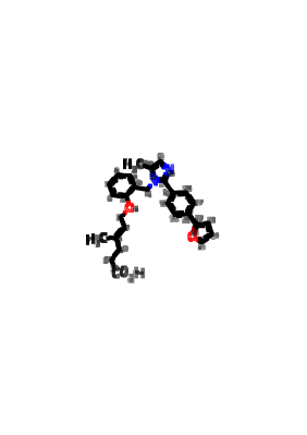 C/C(=C\COc1ccccc1Cn1c(C)cnc1-c1ccc(-c2ccco2)cc1)CCC(=O)O